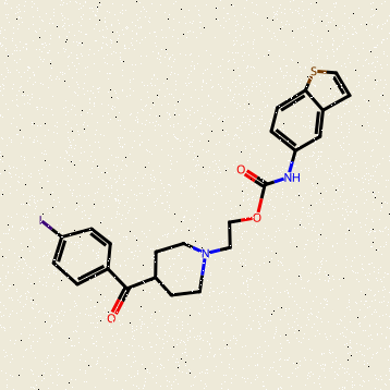 O=C(Nc1ccc2sccc2c1)OCCN1CCC(C(=O)c2ccc(I)cc2)CC1